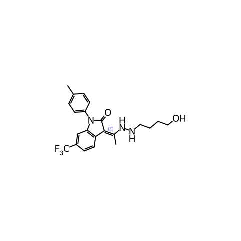 C/C(NNCCCCO)=C1/C(=O)N(c2ccc(C)cc2)c2cc(C(F)(F)F)ccc21